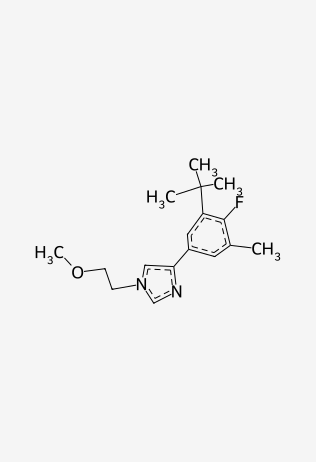 COCCn1cnc(-c2cc(C)c(F)c(C(C)(C)C)c2)c1